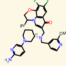 COc1cc(CN(Cc2cn3c4c(c(F)c(F)cc4c2=O)OCC3C(C)C)[C@H]2CCCN(c3ccc(N)nc3)C2)ccn1